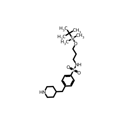 CC(C)(C)[Si](C)(C)OCCCNS(=O)(=O)c1ccc(CC2CCNCC2)cc1